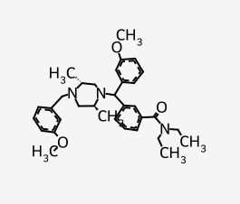 CCN(CC)C(=O)c1cccc(C(c2cccc(OC)c2)N2C[C@@H](C)N(Cc3cccc(OC)c3)C[C@@H]2C)c1